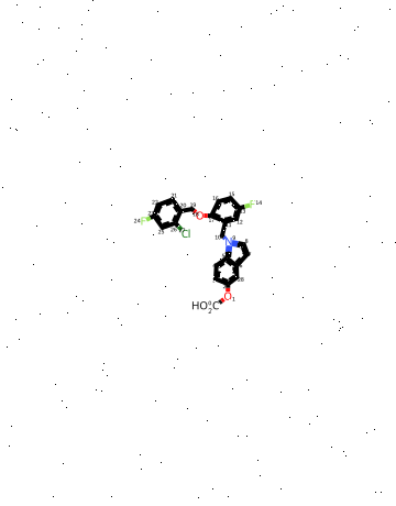 O=C(O)Oc1ccc2c(ccn2Cc2cc(F)ccc2OCc2ccc(F)cc2Cl)c1